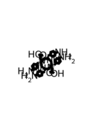 Nc1ccc(C[C@H]2CN(CC(=O)O)[C@@H](Cc3ccc(N)cc3)CN[C@@H](Cc3ccc(N)cc3)CN(CC(=O)O)[C@@H](Cc3ccc(N)cc3)CN2)cc1